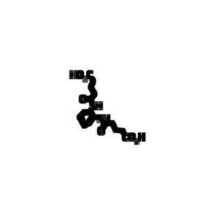 O=C(O)CCCC(=O)Nc1ccccc1NC(=O)CCCC(=O)O